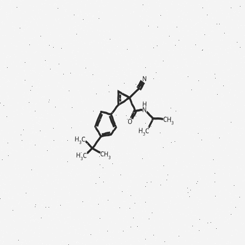 CC(C)NC(=O)C1(C#N)C=C1c1ccc(C(C)(C)C)cc1